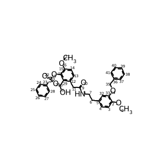 COc1ccc(CCNC(=O)Cc2ccc(OC)c(OS(=O)(=O)c3ccccc3)c2CO)cc1OCc1ccccc1